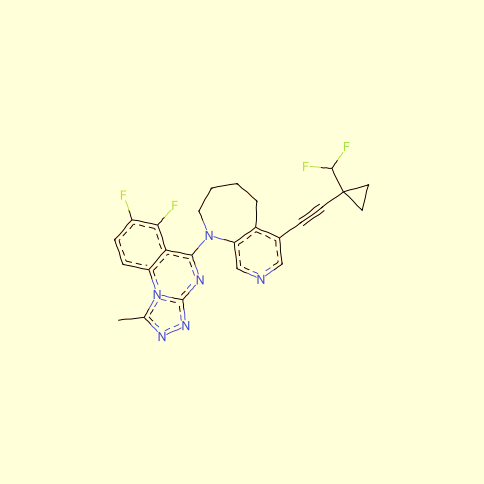 Cc1nnc2nc(N3CCCCc4c(C#CC5(C(F)F)CC5)cncc43)c3c(F)c(F)ccc3n12